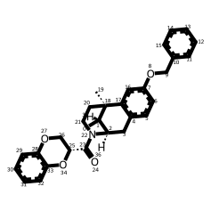 C[C@H]1[C@H]2Cc3ccc(OCc4ccccc4)cc3[C@]1(C)CCN2C(=O)[C@H]1COc2ccccc2O1